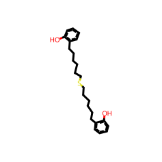 Oc1ccccc1CCCCCCSCCCCCCc1ccccc1O